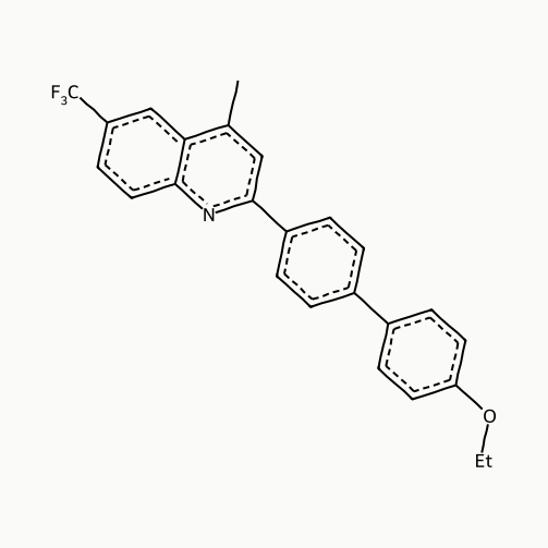 CCOc1ccc(-c2ccc(-c3cc(C)c4cc(C(F)(F)F)ccc4n3)cc2)cc1